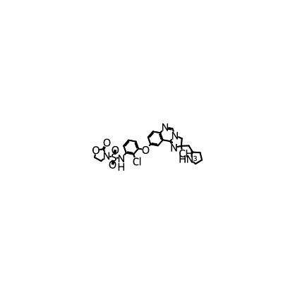 CC1(CC2CCCN2)CN2C=Nc3ccc(Oc4cccc(NS(=O)(=O)N5CCOC5=O)c4Cl)cc3C2=N1